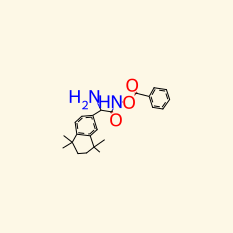 CC1(C)CCC(C)(C)c2cc(C(N)C(=O)NOC(=O)c3ccccc3)ccc21